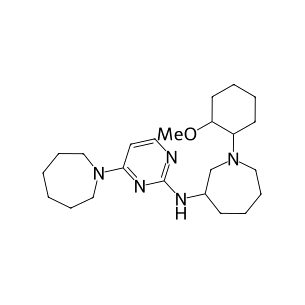 COC1CCCCC1N1CCCCC(Nc2nccc(N3CCCCCC3)n2)C1